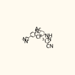 CC(=O)N(c1ccc(-c2cnn(C)c2)cc1C(F)(F)F)[C@H]1CC[C@H](Nc2ccc(C#N)cn2)CC1